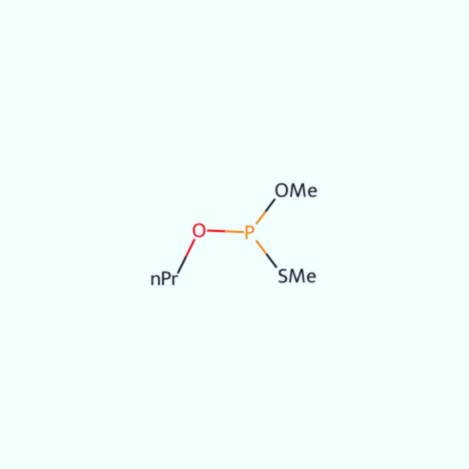 CCCOP(OC)SC